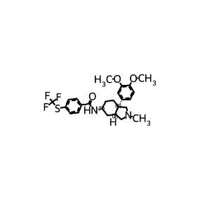 COc1ccc([C@@]23CC[C@@H](NC(=O)c4ccc(SC(F)(F)F)cc4)C[C@@H]2CN(C)C3)cc1OC